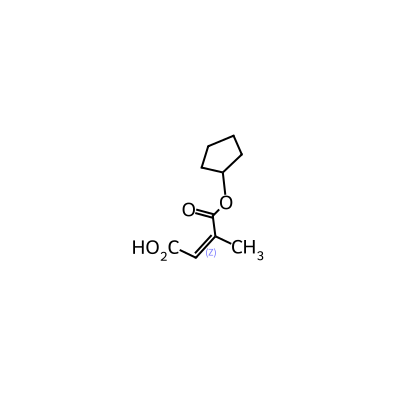 C/C(=C/C(=O)O)C(=O)OC1CCCC1